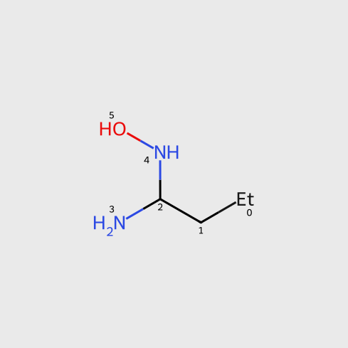 CCCC(N)NO